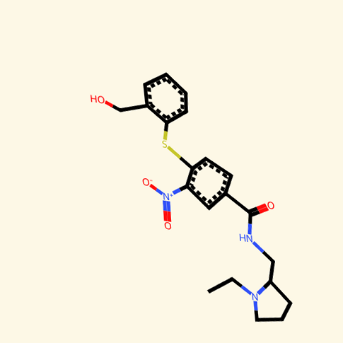 CCN1CCCC1CNC(=O)c1ccc(Sc2ccccc2CO)c([N+](=O)[O-])c1